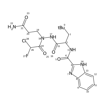 CC(C)(C)CC(NC(=O)c1nc2ccccc2[nH]1)C(=O)NN(CCC(N)=O)C(=O)C(F)Cl